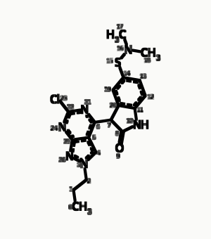 CCCn1cc2c(C3C(=O)Nc4ccc(SN(C)C)cc43)nc(Cl)nc2n1